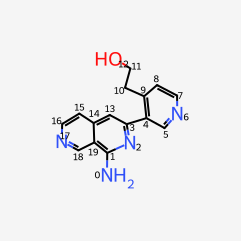 Nc1nc(-c2cnccc2CCO)cc2ccncc12